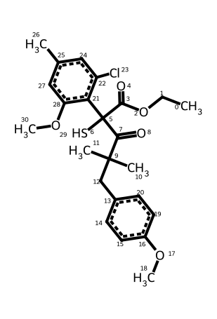 CCOC(=O)C(S)(C(=O)C(C)(C)Cc1ccc(OC)cc1)c1c(Cl)cc(C)cc1OC